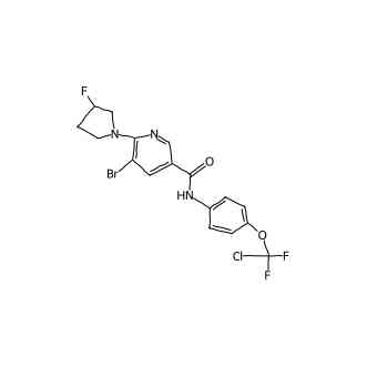 O=C(Nc1ccc(OC(F)(F)Cl)cc1)c1cnc(N2CCC(F)C2)c(Br)c1